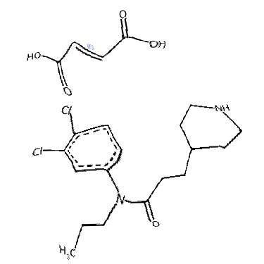 CCCN(C(=O)CCC1CCNCC1)c1ccc(Cl)c(Cl)c1.O=C(O)/C=C/C(=O)O